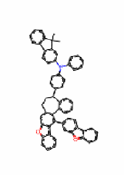 CC1(C)c2ccccc2-c2ccc(N(c3ccccc3)c3ccc(C4CCc5cc6oc7ccccc7c6c(-c6ccc7c(c6)oc6ccccc67)c5-c5ccccc54)cc3)cc21